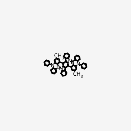 Cc1cc2c3c(c1)N(c1ccccc1)c1ccccc1B3n1c3ccccc3c3c4c5c(c-2c31)c1ccccc1n5B1c2ccccc2N(c2ccccc2)c2cc(C)cc-4c21